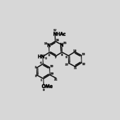 COc1ccc(Nc2cc(-c3ccccc3)nc(NC(C)=O)n2)cc1C